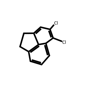 Clc1cc2c3c(cccc3c1Cl)CC2